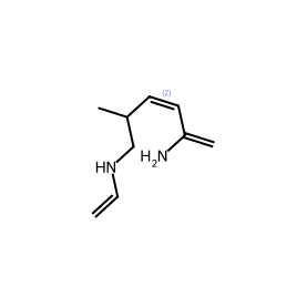 C=CNCC(C)/C=C\C(=C)N